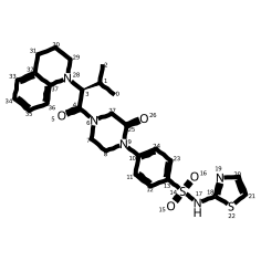 CC(C)[C@@H](C(=O)N1CCN(c2ccc(S(=O)(=O)Nc3nccs3)cc2)C(=O)C1)N1CCCc2ccccc21